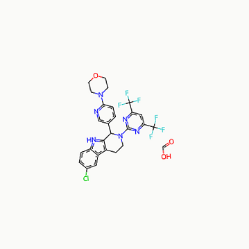 FC(F)(F)c1cc(C(F)(F)F)nc(N2CCc3c([nH]c4ccc(Cl)cc34)C2c2ccc(N3CCOCC3)nc2)n1.O=CO